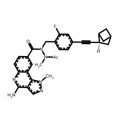 CC(=O)N(C)N(Cc1ccc(C#C[C@@H]2CC3CC2C3)cc1F)C(=O)c1ccc2nc(N)c3cnn(C)c3c2c1